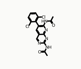 CC(=O)Nc1ncc2cc(-c3c(Cl)cccc3Cl)c(NC(C)=O)nc2n1